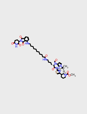 COC(=O)N1CCCC(c2csc(NC(=O)[C@H](CCCCNC(=O)CCCCCCCCCCNc3cccc4c3C(=O)N(C3CCC(=O)NC3=O)C4=O)N(C=O)c3ccn(C(C)(C)C)c3)n2)C1